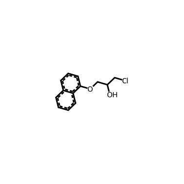 OC(CCl)COc1cccc2ccccc12